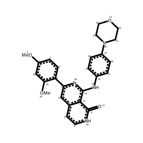 COc1ccc(-c2cc3cc[nH]c(=O)c3c(Nc3ccc(N4CCOCC4)cc3)n2)c(OC)c1